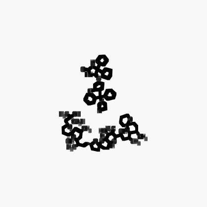 C=C1[C@@H](O)[C@@H]2O[C@]3(CC[C@H](/C=C/[C@@H](C)[C@@H]4CC(C)=C[C@@]5(O[C@H](C[C@@](C)(O)C(=O)O)CC[C@H]5O)O4)O3)CC[C@H]2O[C@@H]1[C@@H](O)C[C@H](C)[C@H]1O[C@@]2(CCCCO2)CC[C@H]1C.Clc1ccccc1C(c1ccccc1)(c1ccccc1)n1ccnc1.O=C1NC(=O)C(c2ccccc2)(c2ccccc2)N1